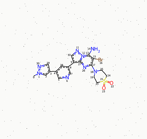 Cn1cc(-c2cncc(-c3cnn4c(N)c(Br)c(N5CCS(=O)(=O)CC5)nc34)c2)cn1